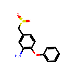 Nc1cc(C[SH](=O)=O)ccc1Oc1ccccc1